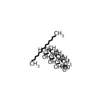 CCCCCCCCCCCCCCCC.C[N+](C)(C)CCO.C[N+](C)(C)CCO.C[N+](C)(C)CCO.O=P([O-])([O-])[O-]